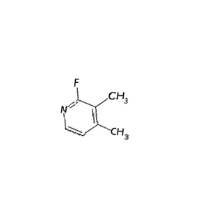 Cc1ccnc(F)c1C